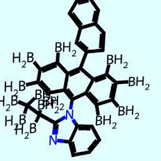 Bc1c(B)c(B)c2c(-n3c(C(B)(B)C(B)(B)B)nc4ccccc43)c3c(B)c(B)c(B)c(B)c3c(-c3ccc4ccccc4c3)c2c1B